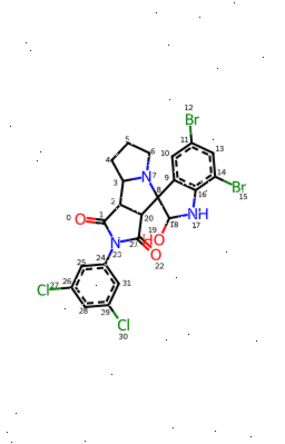 O=C1C2C3CCCN3C3(c4cc(Br)cc(Br)c4NC3O)C2C(=O)N1c1cc(Cl)cc(Cl)c1